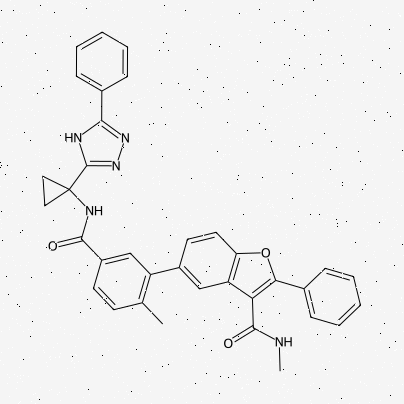 CNC(=O)c1c(-c2ccccc2)oc2ccc(-c3cc(C(=O)NC4(c5nnc(-c6ccccc6)[nH]5)CC4)ccc3C)cc12